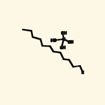 CCCCCCCCCCC[CH2][K].O[Si](O)(O)O